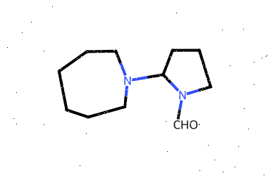 O=[C]N1CCCC1N1CCCCCC1